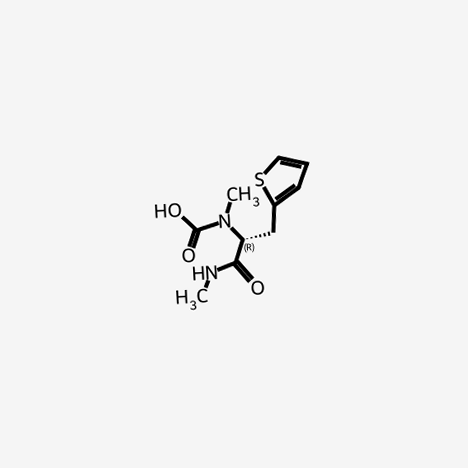 CNC(=O)[C@@H](Cc1cccs1)N(C)C(=O)O